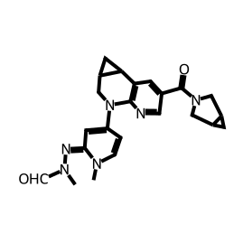 CN(C=O)/N=c1/cc(N2CC3CC3c3cc(C(=O)N4CC5CC5C4)cnc32)ccn1C